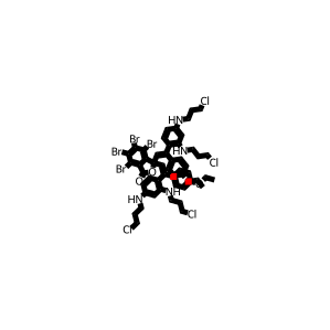 CCOc1ccc(C(=CC2(C=C(c3ccc(OCC)cc3)c3ccc(NCCCCl)cc3NCCCCl)OC(=O)c3c(Br)c(Br)c(Br)c(Br)c32)c2ccc(NCCCCl)cc2NCCCCl)cc1